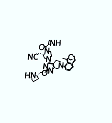 Cc1cccc2cccc(N3CCc4c(nc(OC[C@@H]5CCCN5)nc4N4CCN(C(=O)[C@H]5CN5)[C@@H](CC#N)C4)C3)c12